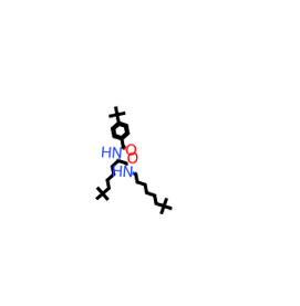 CC(C)(C)CCCCCCNC(=O)C(CCCCC(C)(C)C)NC(=O)c1ccc(C(C)(C)C)cc1